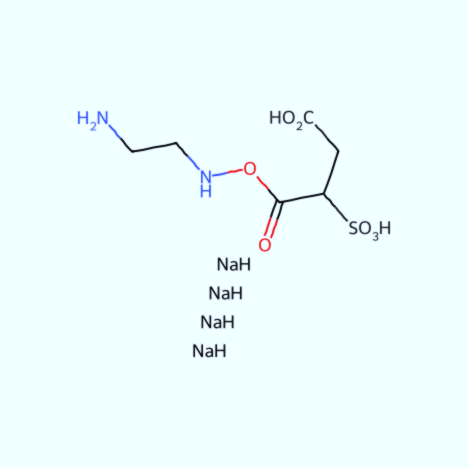 NCCNOC(=O)C(CC(=O)O)S(=O)(=O)O.[NaH].[NaH].[NaH].[NaH]